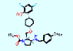 COc1ccc(CN[C@H]2CCN(C(=O)OC(C)(C)C)[C@H]2CO[C@H]2CC[C@@H](c3cc(F)cc(F)c3O)CC2)cc1